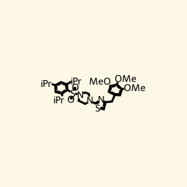 COc1cc(Cc2csc(N3CCN(S(=O)(=O)c4c(C(C)C)cc(C(C)C)cc4C(C)C)CC3)n2)cc(OC)c1OC